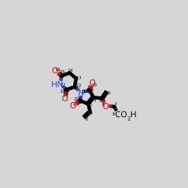 C=CC1=C(C(=C)OCC(=O)O)C(=O)N(C2CCC(=O)NC2=O)C1=O